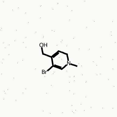 CN1C=C(Br)C(CO)=CC1